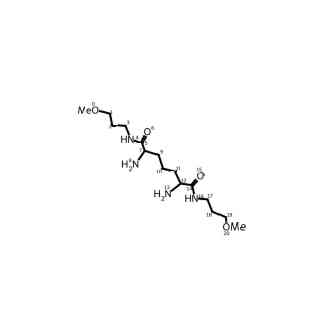 COCCCNC(=O)C(N)CCCC(N)C(=O)NCCCOC